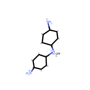 NC1CCC(NC2CCC(N)CC2)CC1.[LiH]